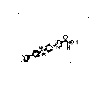 O=C(NO)c1cnc(N2CCC(S(=O)(=O)c3ccc(-c4ccsc4)cc3)CC2)nc1